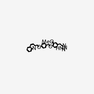 COc1cc(Cc2nnn[nH]2)ccc1OCc1ccc(OCc2ccc3ccccc3n2)cc1